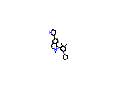 Cc1cc(C2CCCC2)cc(-c2c3ccc(-c4cccnc4)cc3cc[n+]2C)c1C